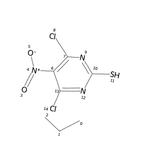 CCC.O=[N+]([O-])c1c(Cl)nc(S)nc1Cl